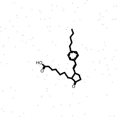 CCCCCc1ccc(C=CC2CCC(=O)C2CCCCCCC(=O)O)cc1